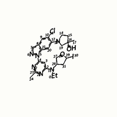 CCN(c1cc(-n2ncc3cc(Cl)c(N4CCC(C)(O)C4)cc32)nc(C)n1)C1COC(I)C1